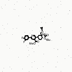 COC(=O)c1cc(-c2ccc(F)c(F)c2)ncc1C1CCCC(COC2CC2)(NC(=O)OC(C)(C)C)C1